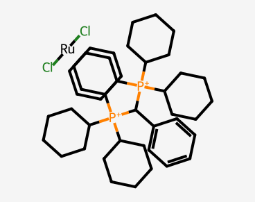 [Cl][Ru][Cl].c1ccc(C([P+](C2CCCCC2)(C2CCCCC2)C2CCCCC2)[P+](C2CCCCC2)(C2CCCCC2)C2CCCCC2)cc1